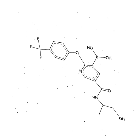 CC(CO)NC(=O)c1cnc(Oc2ccc(C(F)(F)F)cc2)c(B(O)O)c1